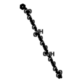 CC(C)(C)OC(=O)CCOCCOCCOCCNC(=O)CCOCCOCCOCCC(=O)NCCOCCOCCOCCC(=O)OCc1ccccc1